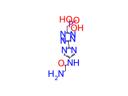 NCC(=O)Nc1cnc(-c2nnc(CP(=O)(O)O)nn2)nc1